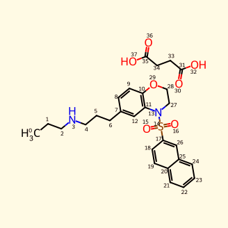 CCCNCCCc1ccc2c(c1)N(S(=O)(=O)c1ccc3ccccc3c1)CCO2.O=C(O)CCC(=O)O